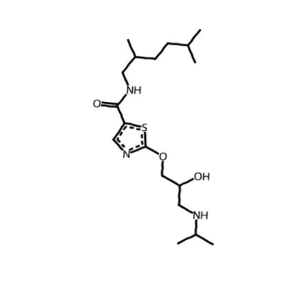 CC(C)CCC(C)CNC(=O)c1cnc(OCC(O)CNC(C)C)s1